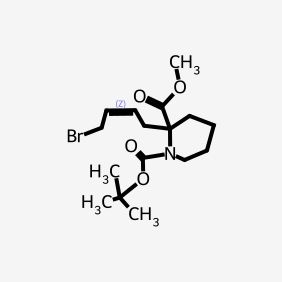 COC(=O)C1(C/C=C\CBr)CCCCN1C(=O)OC(C)(C)C